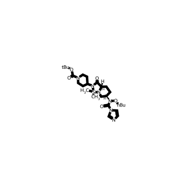 CCCCON(C(=O)n1ccnc1)[C@@H]1CC[C@H]2C(=O)N(C3CCN(C(=O)OC(C)(C)C)CC3)[Si](C)(C)N2C1